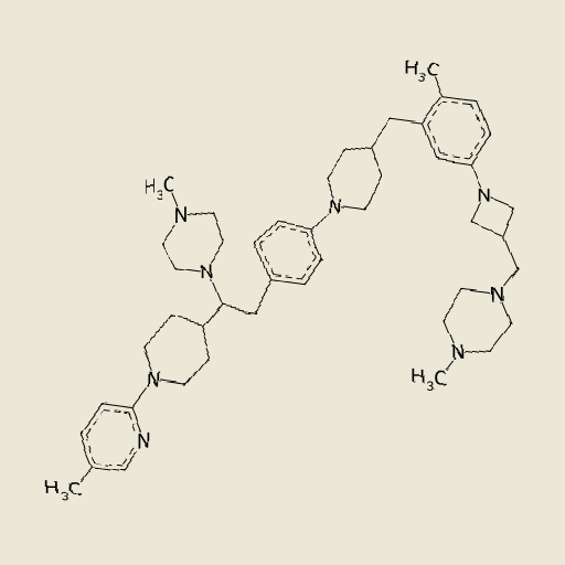 Cc1ccc(N2CCC(C(Cc3ccc(N4CCC(Cc5cc(N6CC(CN7CCN(C)CC7)C6)ccc5C)CC4)cc3)N3CCN(C)CC3)CC2)nc1